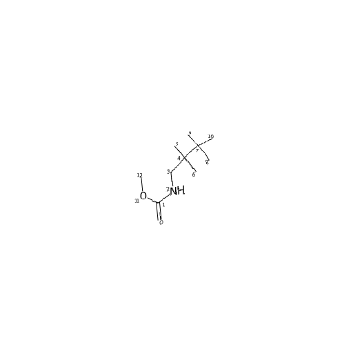 C=C(NCC(C)(C)C(C)(C)C)OC